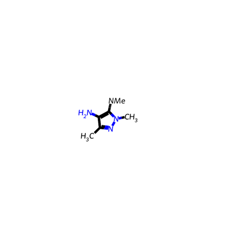 CNc1c(N)c(C)nn1C